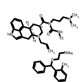 C=CCN1C[C@H](C(=O)N(CCCN(C)C)C(=O)NCC)C[C@@H]2c3cccc4[nH]cc(c34)C[C@H]21.CNCCOC(c1ccccc1)c1ccccc1C